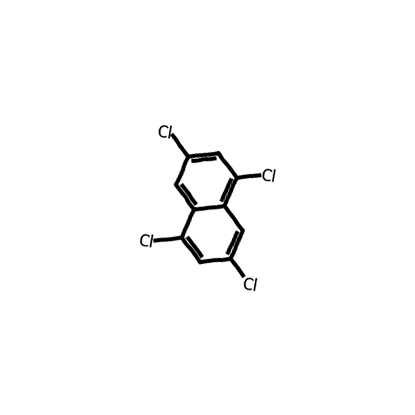 Clc1cc(Cl)c2cc(Cl)cc(Cl)c2c1